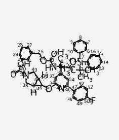 CC(CO[Si](c1ccccc1)(c1ccccc1)C(C)(C)C)(NC(=O)OCc1ccccc1)c1cc(OC2[C@H]3CN(C(=O)O)C[C@@H]23)nc(-c2ccc(F)cc2)c1